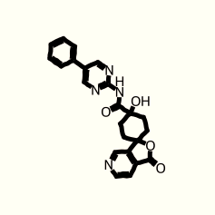 O=C1OC2(CCC(O)(C(=O)Nc3ncc(-c4ccccc4)cn3)CC2)c2cnccc21